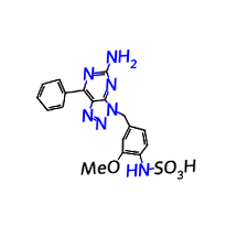 COc1cc(Cn2nnc3c(-c4ccccc4)nc(N)nc32)ccc1NS(=O)(=O)O